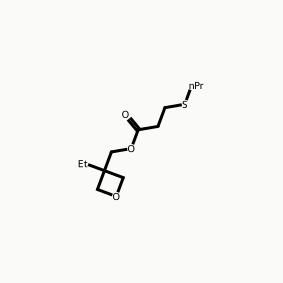 CCCSCCC(=O)OCC1(CC)COC1